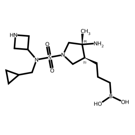 C[C@]1(N)CN(S(=O)(=O)N(CC2CC2)C2CNC2)C[C@@H]1CCCB(O)O